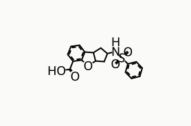 O=C(O)c1cccc2c1OC1CC(NS(=O)(=O)c3ccccc3)CC21